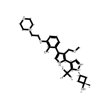 COCc1c(-c2cccc(OCCN3CCOCC3)c2Cl)c[nH]c1-c1cnn([C@H]2C[C@@](C)(O)C2)c1C(F)(F)F